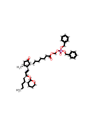 CCCCC[C@@H](/C=C/[C@H]1[C@H](C)CC(=O)[C@@H]1CCCCCCC(=O)OCOP(=O)(OCc1ccccc1)OCc1ccccc1)OC1CCCCO1